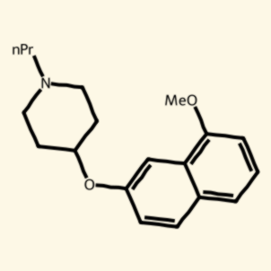 CCCN1CCC(Oc2ccc3cccc(OC)c3c2)CC1